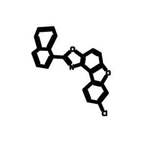 Clc1ccc2c(c1)oc1ccc3oc(-c4cccc5ccccc45)nc3c12